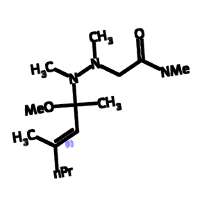 CCC/C(C)=C/C(C)(OC)N(C)N(C)CC(=O)NC